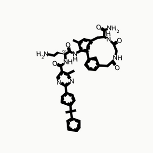 Cc1cc2cc(c1NC(=O)[C@H](CCN)NC(=O)c1cnc(-c3ccc(C(C)(C)c4ccccc4)cc3)nc1C)-c1cccc(c1)CC(=O)NCC(=O)NC(C(N)=O)C2